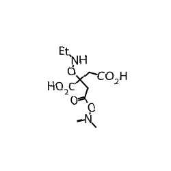 CCNOC(CC(=O)O)(CC(=O)ON(C)C)C(=O)O